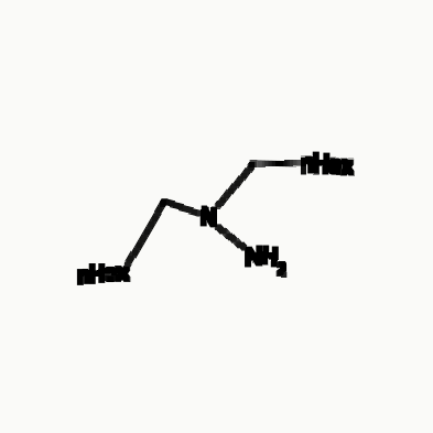 CCCCCCCN(N)CCCCCCC